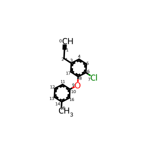 C#C[CH]c1ccc(Cl)c(Oc2cccc(C)c2)c1